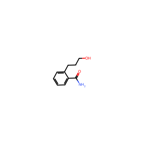 NC(=O)c1ccccc1C[CH]CO